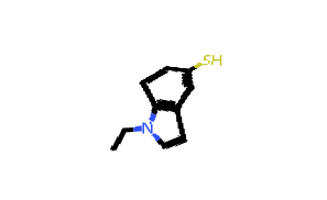 CCN1CCc2cc(S)ccc21